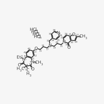 CCN1C(=O)C(C)(C)C(=O)N(C)c2cc(OCCCN(CCCn3ccc4oc(C)cc4c3=O)Cc3ccncc3)ccc21.Cl.Cl.Cl.Cl